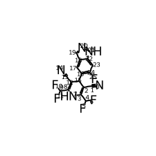 N#CC1=C(C(F)F)NC(C(F)F)=C(C#N)C1c1cc2cn[nH]c2cc1F